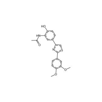 COc1ccc(-c2nc(-c3ccc(O)c(NC(C)=O)c3)cs2)cc1OC